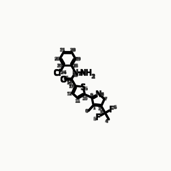 CC1=C(C(C)(F)F)CN=C1c1ccc(C(=O)N(N)c2ccccc2Cl)s1